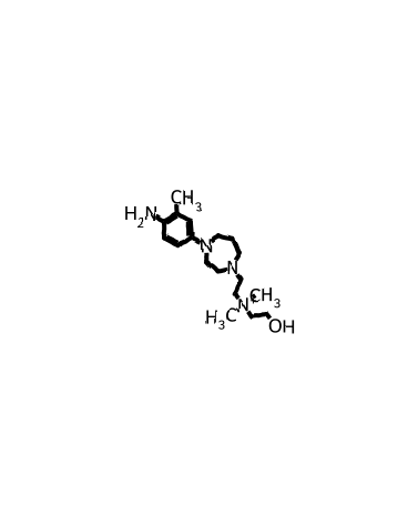 Cc1cc(N2CCCN(CC[N+](C)(C)CCO)CC2)ccc1N